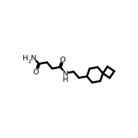 NC(=O)CCC(=O)NCCC1CCC2(CCC2)CC1